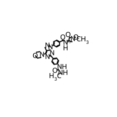 CNC(=O)Nc1ccc(-c2nc(N3CCOCC3)c3cnn(-c4ccc(C(=O)N[C@@H]5CN(OC)C5=O)cc4)c3n2)cc1